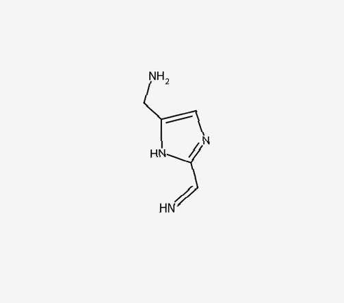 N=Cc1ncc(CN)[nH]1